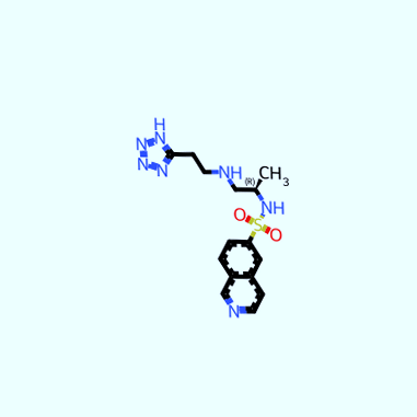 C[C@H](CNCCc1nnn[nH]1)NS(=O)(=O)c1ccc2cnccc2c1